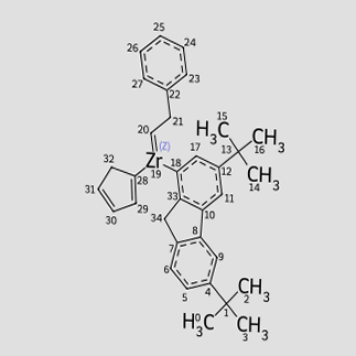 CC(C)(C)c1ccc2c(c1)-c1cc(C(C)(C)C)c[c](/[Zr](=[CH]\Cc3ccccc3)[C]3=CC=CC3)c1C2